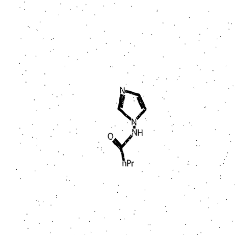 CCCC(=O)Nn1ccnc1